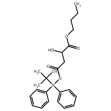 CCCCOC(=O)C(O)CC(=O)O[Si](c1ccccc1)(c1ccccc1)C(C)(C)C